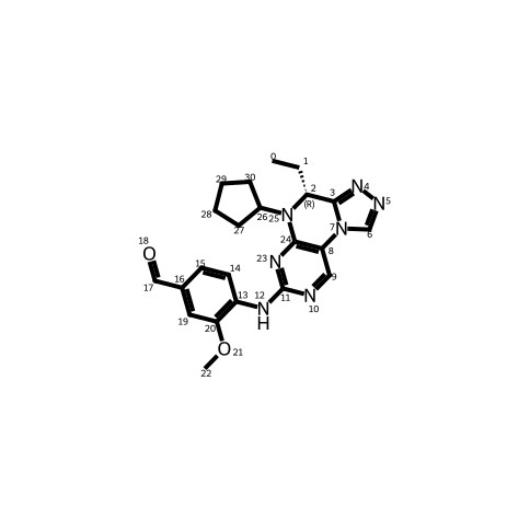 CC[C@@H]1c2nncn2-c2cnc(Nc3ccc(C=O)cc3OC)nc2N1C1CCCC1